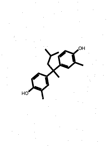 Cc1cc(C(C)(CC(C)C)c2ccc(O)c(C)c2)ccc1O